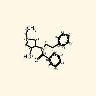 CCN1CC(O)C(N(CCc2ccccc2)C(=O)c2ccccc2)C1